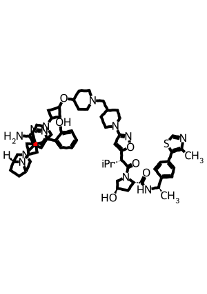 Cc1ncsc1-c1ccc([C@H](C)NC(=O)[C@@H]2C[C@@H](O)CN2C(=O)[C@@H](c2cc(N3CCC(CN4CCC(OC5CC(N6CCC7(CC6)CC(N6C8CC[C@@H]6CN(c6cc(-c9ccccc9O)nnc6N)C8)C7)C5)CC4)CC3)no2)C(C)C)cc1